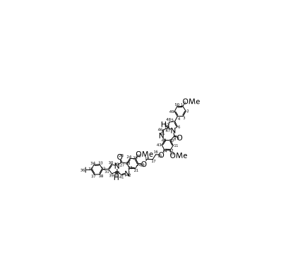 COc1ccc(C2=CN3C(=O)c4cc(OC)c(OCCCOc5cc6c(cc5OC)C(=O)N5C=C(c7ccc(I)cc7)C[C@H]5C=N6)cc4N=C[C@@H]3C2)cc1